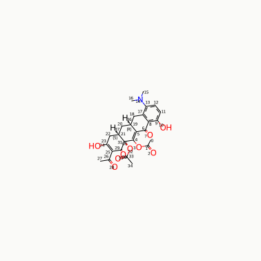 CC(=O)OC1=C2C(=O)c3c(O)ccc(N(C)C)c3C[C@H]2C[C@H]2CC(O)=C(C(C)=O)C(=O)[C@@]12OC(C)=O